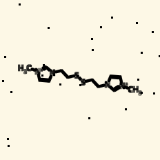 C[n+]1ccn(CCSSCCn2cc[n+](C)c2)c1